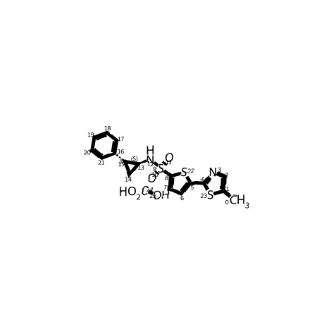 Cc1cnc(-c2ccc(S(=O)(=O)N[C@H]3C[C@@H]3c3ccccc3)s2)s1.O=C(O)O